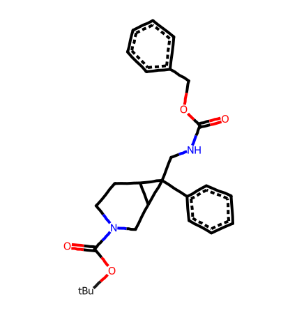 CC(C)(C)OC(=O)N1CCC2C(C1)C2(CNC(=O)OCc1ccccc1)c1ccccc1